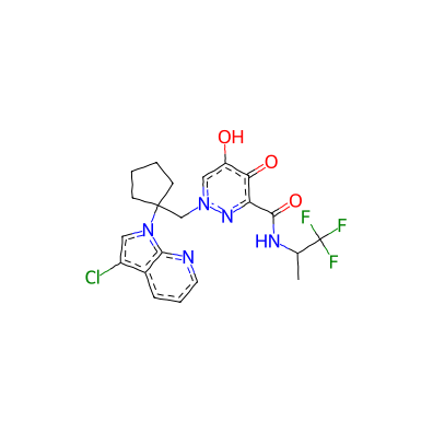 CC(NC(=O)c1nn(CC2(n3cc(Cl)c4cccnc43)CCCC2)cc(O)c1=O)C(F)(F)F